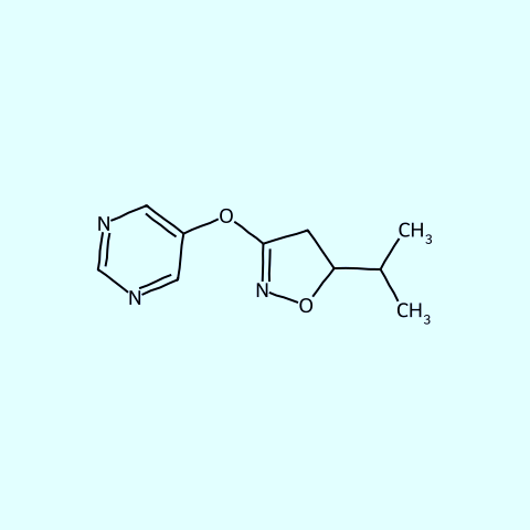 CC(C)C1CC(Oc2cncnc2)=NO1